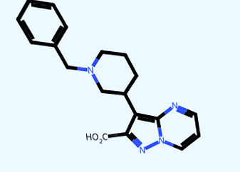 O=C(O)c1nn2cccnc2c1C1CCCN(Cc2ccccc2)C1